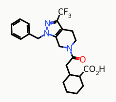 O=C(O)C1CCCCC1CC(=O)N1CCc2c(C(F)(F)F)nn(Cc3ccccc3)c2C1